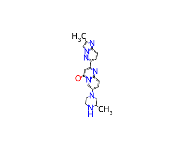 Cc1cn2nc(-c3cc(=O)n4cc(N5CCNC(C)C5)ccc4n3)ccc2n1